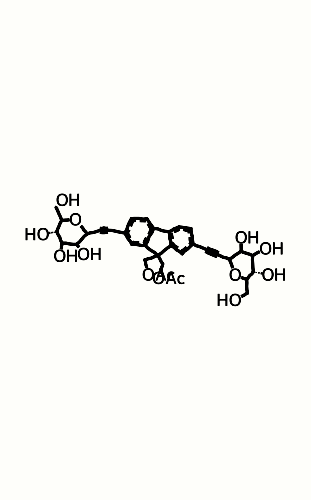 CC(=O)OCC1(COC(C)=O)c2cc(C#CC3OC(CO)[C@@H](O)C(O)C3O)ccc2-c2ccc(C#CC3OC(CO)[C@@H](O)C(O)C3O)cc21